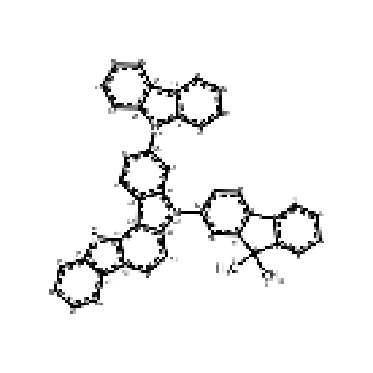 CC1(C)c2ccccc2-c2ccc(-n3c4cc(-n5c6ccccc6c6ccccc65)ccc4c4c5oc6ccccc6c5ccc43)cc21